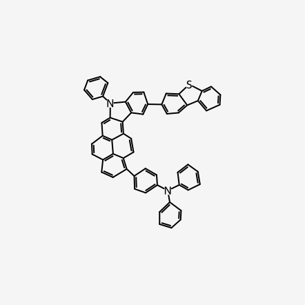 c1ccc(N(c2ccccc2)c2ccc(-c3ccc4ccc5cc6c(c7ccc3c4c57)c3cc(-c4ccc5c(c4)sc4ccccc45)ccc3n6-c3ccccc3)cc2)cc1